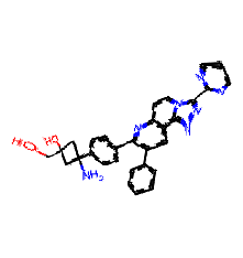 NC1(c2ccc(-c3nc4ccn5c(-c6ncccn6)nnc5c4cc3-c3ccccc3)cc2)CC(O)(CO)C1